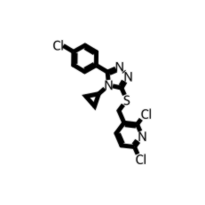 Clc1ccc(-c2nnc(SCc3ccc(Cl)nc3Cl)n2C2CC2)cc1